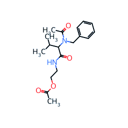 CC(=O)OCCNC(=O)C(C(C)C)N(Cc1ccccc1)C(C)=O